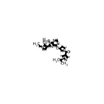 CCn1ncc(-c2nc3c(O[C@H]4CCN(C(=O)c5cnn(C(C)C)c5)C4)ncnc3n2C)c1C